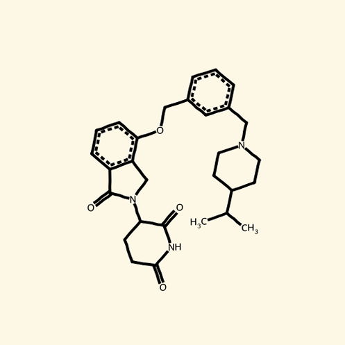 CC(C)C1CCN(Cc2cccc(COc3cccc4c3CN(C3CCC(=O)NC3=O)C4=O)c2)CC1